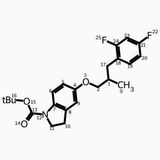 CC(COc1ccc2c(c1)CCN2C(=O)OC(C)(C)C)Cc1ccc(F)cc1F